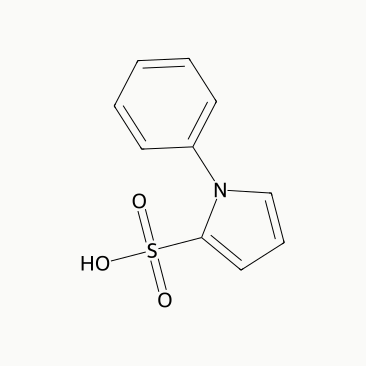 O=S(=O)(O)c1cccn1-c1ccccc1